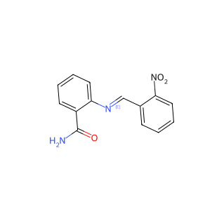 NC(=O)c1ccccc1/N=C/c1ccccc1[N+](=O)[O-]